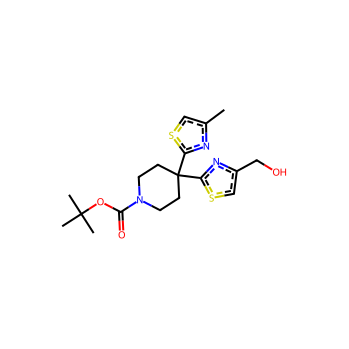 Cc1csc(C2(c3nc(CO)cs3)CCN(C(=O)OC(C)(C)C)CC2)n1